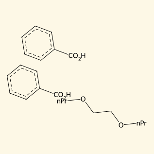 CCCOCCOCCC.O=C(O)c1ccccc1.O=C(O)c1ccccc1